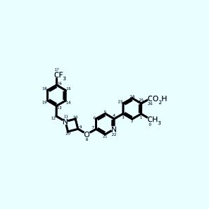 Cc1cc(-c2ccc(OC3CN(Cc4ccc(C(F)(F)F)cc4)C3)cn2)ccc1C(=O)O